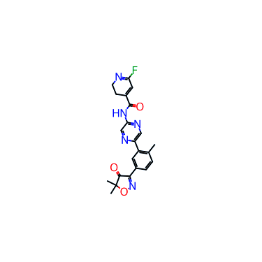 Cc1ccc(C2=NOC(C)(C)C2=O)cc1-c1cnc(NC(=O)C2=CC(F)=NCC2)cn1